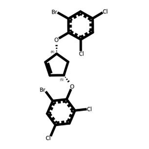 Clc1cc(Cl)c(O[C@@H]2C=C[C@H](Oc3c(Cl)cc(Cl)cc3Br)C2)c(Br)c1